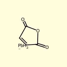 O=C1C=CC(=O)O1.[PbH2]